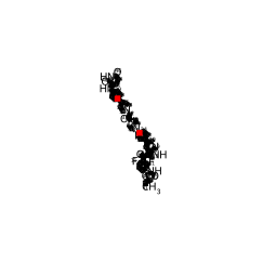 CCCS(=O)(=O)Nc1ccc(F)c(C(=O)c2c[nH]c3ncc(-c4ccc(N5CCN(C(=O)CN6CCC(c7ccc(NC8CCC(=O)NC8=O)cc7)CC6)CC5)nc4)cc23)c1F